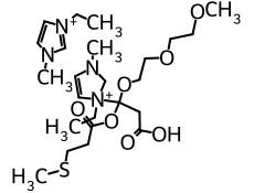 CC[N+]1(C(CC(=O)O)(OCCOCCOC)OC(=O)CCSC)C=CN(C)C1.CC[n+]1ccn(C)c1